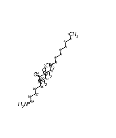 C=O.CCCCCCCCCCCCCCCCCCN.NC(N)=O